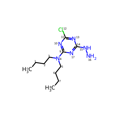 CCCCN(CCCC)c1nc(Cl)nc(NN)n1